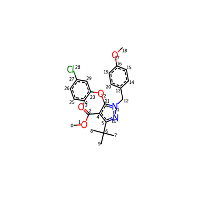 COC(=O)c1c(C(C)(C)C)nn(Cc2ccc(OC)cc2)c1Oc1cccc(Cl)c1